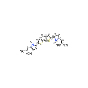 Cn1c(C=C(C#N)C#N)ccc1-c1cc2c(s1)-c1sc(-c3ccc(C=C(C#N)C#N)n3C)cc1C2